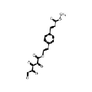 COC(=O)C=Cc1ccc(C=COC(=O)C(=O)C(=O)C(=O)C=O)cc1